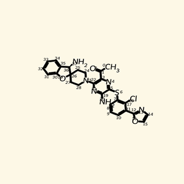 CC(=O)c1nc(Sc2cccc(-c3ncco3)c2Cl)c(N)nc1N1CCC2(CC1)Oc1ccccc1[C@H]2N